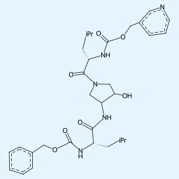 CC(C)C[C@H](NC(=O)OCc1ccccc1)C(=O)NC1CN(C(=O)[C@H](CC(C)C)NC(=O)OCc2cccnc2)CC1O